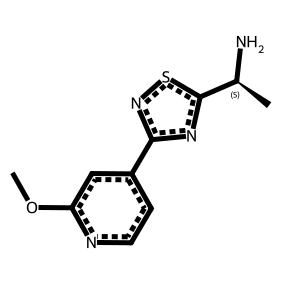 COc1cc(-c2nsc([C@H](C)N)n2)ccn1